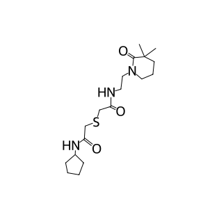 CC1(C)CCCN(CCNC(=O)CSCC(=O)NC2CCCC2)C1=O